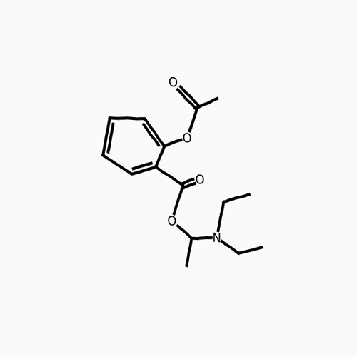 CCN(CC)C(C)OC(=O)c1ccccc1OC(C)=O